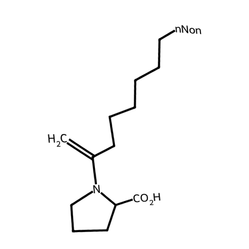 C=C(CCCCCCCCCCCCCCC)N1CCCC1C(=O)O